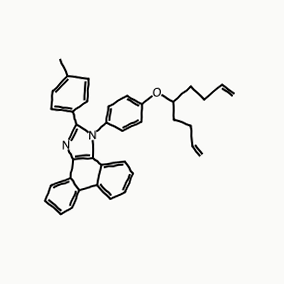 C=CCCC(CCC=C)Oc1ccc(-n2c(-c3ccc(C)cc3)nc3c4ccccc4c4ccccc4c32)cc1